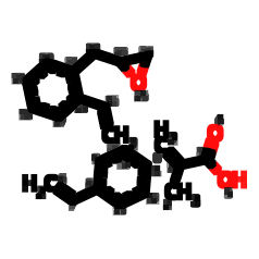 C=C(C)C(=O)O.C=Cc1ccccc1.C=Cc1ccccc1CC1CO1